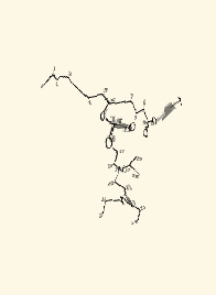 CCCCCCC(CCCC(=O)O)OC(=O)OCCN(CCN(CC)CC)C(C)C